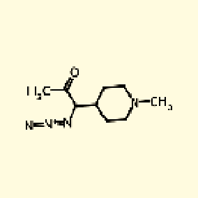 CC(=O)C(N=[N+]=[N-])C1CCN(C)CC1